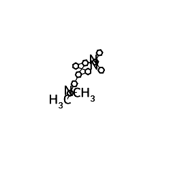 Cc1cnc(-c2ccc(-c3ccc4c(c3)-c3ccccc3C43c4ccccc4-c4ccc(-c5nc(-c6ccccc6)cc(-c6ccccc6)n5)cc43)cc2)c(C)c1